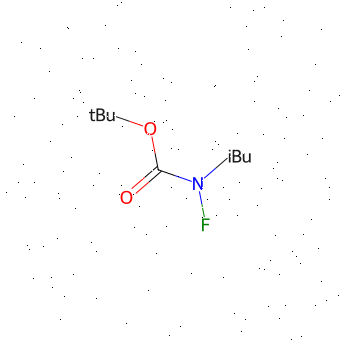 CCC(C)N(F)C(=O)OC(C)(C)C